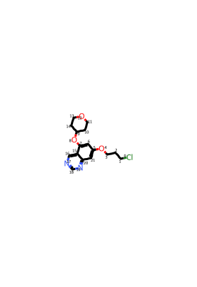 ClCCCOc1cc(OC2CCOCC2)c2cncnc2c1